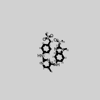 Cc1cnc(Nc2ccc(CS(C)(=O)=O)cc2)nc1Nc1ccc2c(c1)nc([S+](C)[O-])n2C